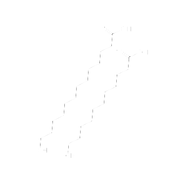 CCCCCCCCCCCC(=O)O.CCCCCCCCCCCCCC(=O)O